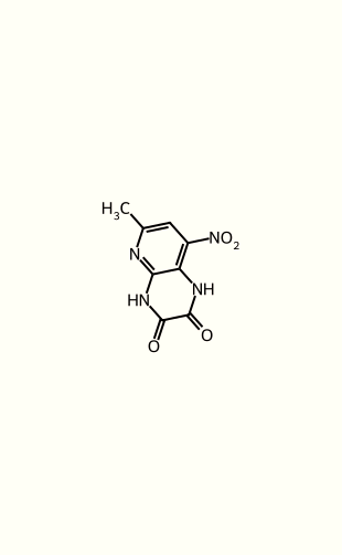 Cc1cc([N+](=O)[O-])c2[nH]c(=O)c(=O)[nH]c2n1